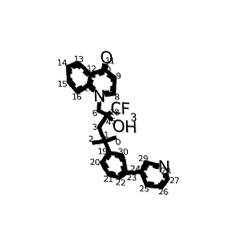 CC(C)(CC(O)(Cn1ccc(=O)c2ccccc21)C(F)(F)F)c1cccc(-c2cccnc2)c1